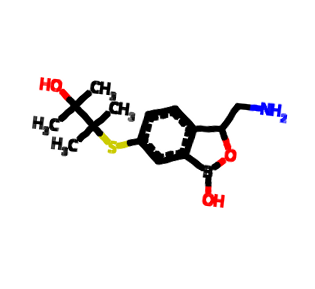 CC(C)(O)C(C)(C)Sc1ccc2c(c1)B(O)OC2CN